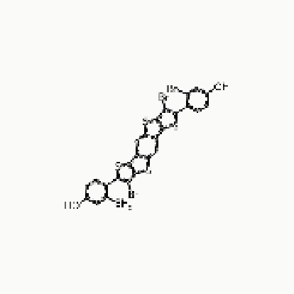 Bc1cc(O)ccc1-c1sc2c(sc3cc4c(cc32)sc2c(Br)c(-c3ccc(O)cc3Br)sc24)c1Br